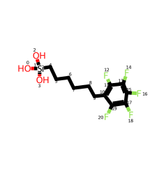 O[Si](O)(O)CCCCCCc1c(F)c(F)c(F)c(F)c1F